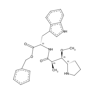 CO[C@@H]([C@@H]1CCCN1)[C@@H](C)C(=O)N[C@@H](Cc1c[nH]c2ccccc12)C(=O)OCc1ccccc1